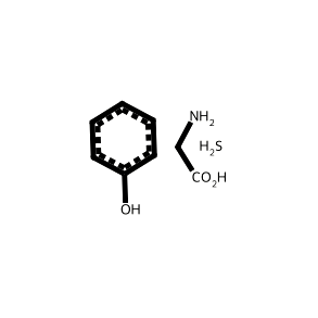 NCC(=O)O.Oc1ccccc1.S